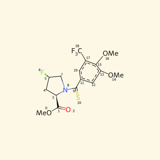 COC(=O)[C@H]1C[C@@H](F)CN1C(=S)c1cc(OC)c(OC)c(C(F)(F)F)c1